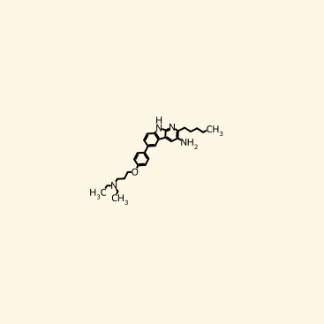 CCCCCc1nc2[nH]c3ccc(-c4ccc(OCCCN(CC)CC)cc4)cc3c2cc1N